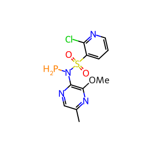 COc1nc(C)cnc1N(P)S(=O)(=O)c1cccnc1Cl